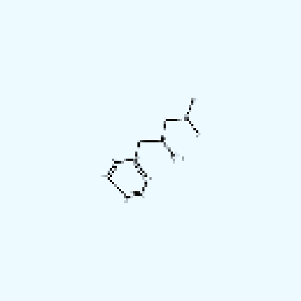 CN(C)CC(N)Cc1ccccc1